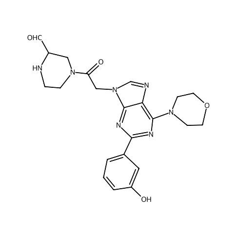 O=CC1CN(C(=O)Cn2cnc3c(N4CCOCC4)nc(-c4cccc(O)c4)nc32)CCN1